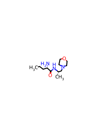 CCC[C@H](N)C(=O)N[C@@H](C)CN1CCOCC1